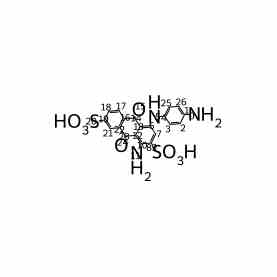 Nc1ccc(Nc2cc(S(=O)(=O)O)c(N)c3c2C(=O)c2ccc(S(=O)(=O)O)cc2C3=O)cc1